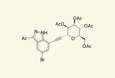 CC(=O)OC[C@H]1O[C@H](C#Cc2cc(Br)cc3c(C(C)=O)n[nH]c23)[C@@H](OC(C)=O)[C@@H](OC(C)=O)[C@@H]1OC(C)=O